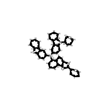 c1ccc(-c2nc3ccc4c(N(c5ccc6sc7ccccc7c6c5)c5ccc6c(c5)c5ccccc5n6-c5ccccc5)cccc4c3o2)cc1